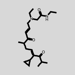 CCNC(=O)CN(CC)C/C=C/C(=O)C(C)C/C=C(/C(=O)C(C)C)C1CC1